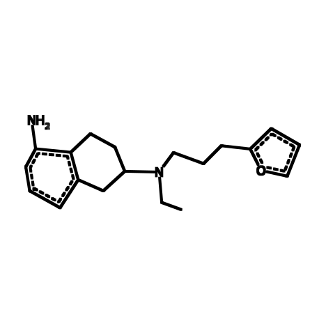 CCN(CCCc1ccco1)C1CCc2c(N)cccc2C1